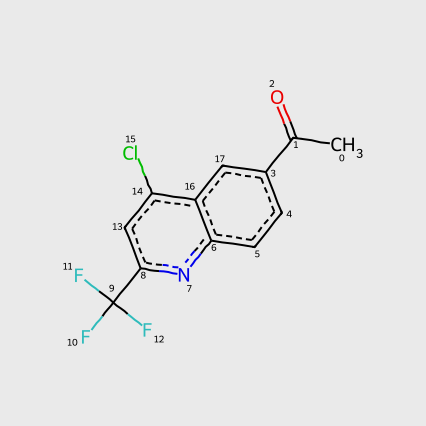 CC(=O)c1ccc2nc(C(F)(F)F)cc(Cl)c2c1